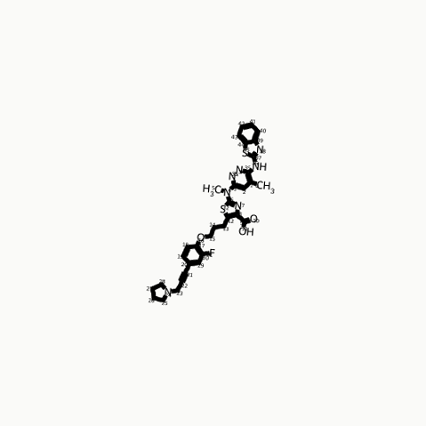 Cc1cc(N(C)c2nc(C(=O)O)c(CCCOc3ccc(C#CCN4CCCC4)cc3F)s2)nnc1Nc1nc2ccccc2s1